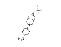 Nc1ccc(N2CC3CC(CN(CC(F)(F)F)C3)C2)cc1